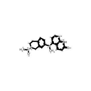 CN(c1ccc2c(c1)CN([S+](N)[O-])CC2)c1ccnc2[nH]c(=O)ccc12